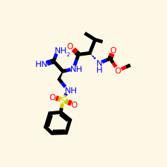 COC(=O)N[C@H](C(=O)N[C@@H](CNS(=O)(=O)c1ccccc1)C(=N)N)C(C)C